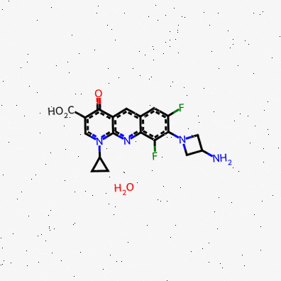 NC1CN(c2c(F)cc3cc4c(=O)c(C(=O)O)cn(C5CC5)c4nc3c2F)C1.O